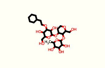 CC1OC(OC2C(CO)OCCC2OC2OC(CO)C(O)C(OCCC3CCCCC3)C2O)C(O)C(O)C1O